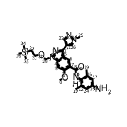 COc1cc2c(cc1C(=O)Nc1c(C)cc(N)cc1C)c(-c1cnn(C)c1)nn2COCC[Si](C)(C)C